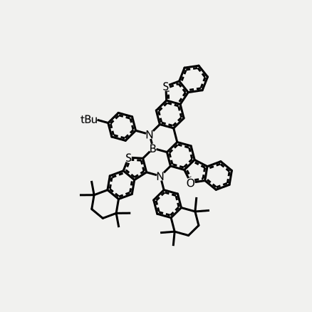 CC(C)(C)c1ccc(N2B3c4sc5cc6c(cc5c4N(c4ccc5c(c4)C(C)(C)CCC5(C)C)c4c3c(cc3c4oc4ccccc43)-c3cc4c(cc32)sc2ccccc24)C(C)(C)CCC6(C)C)cc1